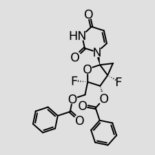 O=C(OC[C@@]1(F)O[C@]2(n3ccc(=O)[nH]c3=O)C[C@@]2(F)[C@@H]1OC(=O)c1ccccc1)c1ccccc1